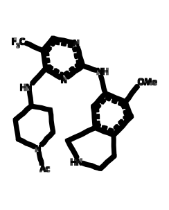 COc1cc2c(cc1Nc1ncc(C(F)(F)F)c(NC3CCN(C(C)=O)CC3)n1)CNCC2